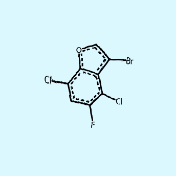 Fc1cc(Cl)c2occ(Br)c2c1Cl